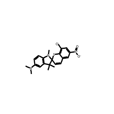 CN(C)c1ccc2c(c1)C(C)(C)C1(C=Cc3cc([N+](=O)[O-])cc(Cl)c3S1)N2C